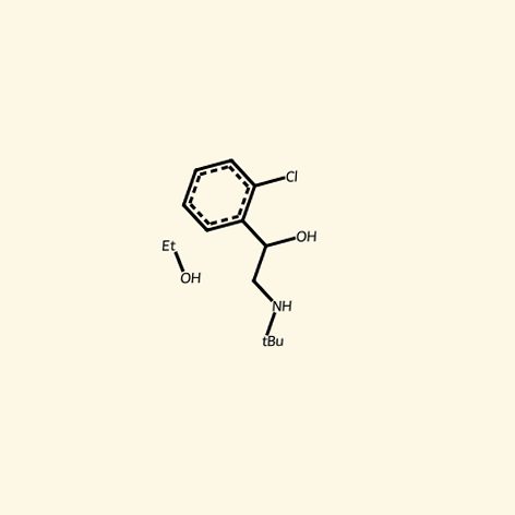 CC(C)(C)NCC(O)c1ccccc1Cl.CCO